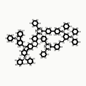 c1ccc(-c2nc(-c3ccccc3)nc(-c3cccc(CCc4cc(N(c5ccccc5)c5ccccc5)cc(N(c5ccccc5)c5ccc(-c6ccc(-c7nc(-c8ccccc8)nc(-c8cccc(CCc9ccc%10c(c9)c9cc(N(c%11ccccc%11)c%11ccccc%11)ccc9n%10-c9ccc%10c(c9)c9ccccc9n%10-c9ccccc9)c8)n7)cc6)cc5)c4)c3)n2)cc1